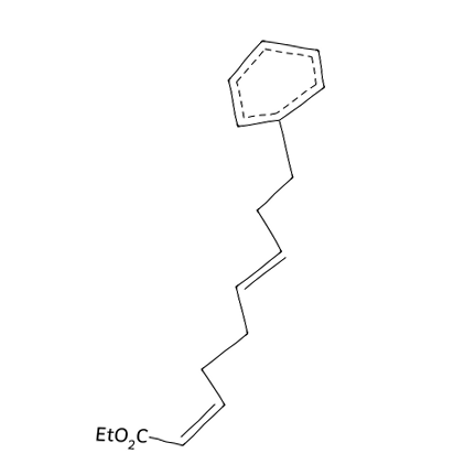 CCOC(=O)/C=C\CCC=CCCc1ccccc1